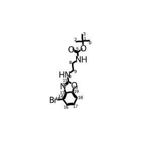 CC(C)(C)OC(=O)NCCNc1nc2c(Br)cccc2o1